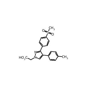 Cc1ccc(-c2cn(CC(=O)O)nc2-c2ccc(S(C)(=O)=O)cc2)cc1